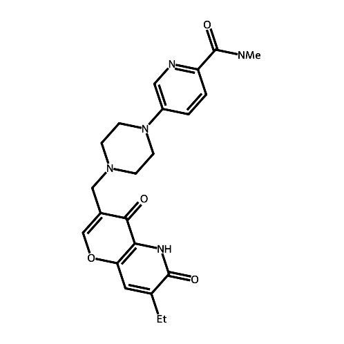 CCc1cc2occ(CN3CCN(c4ccc(C(=O)NC)nc4)CC3)c(=O)c2[nH]c1=O